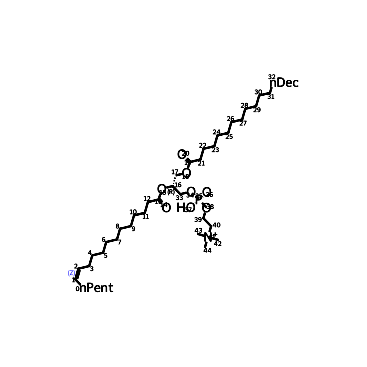 CCCCC/C=C\CCCCCCCCCCC(=O)O[C@H](COC(=O)CCCCCCCCCCCCCCCCCCCCC)COP(=O)(O)OCC[N+](C)(C)C